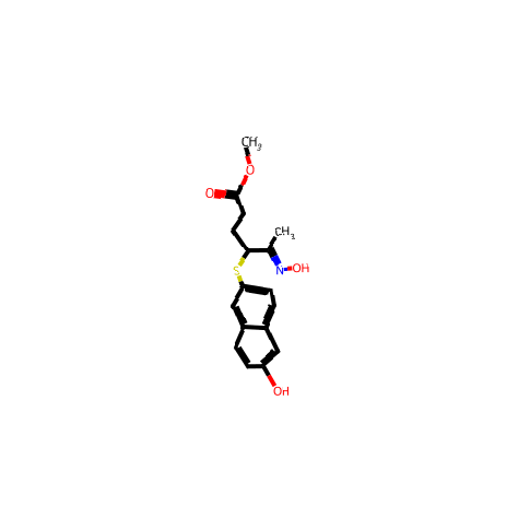 COC(=O)CCC(Sc1ccc2cc(O)ccc2c1)C(C)=NO